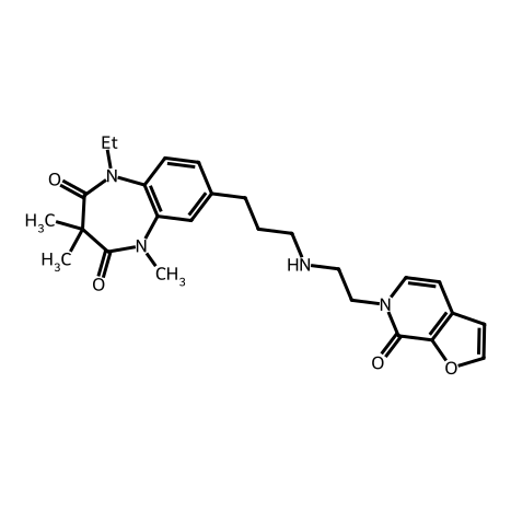 CCN1C(=O)C(C)(C)C(=O)N(C)c2cc(CCCNCCn3ccc4ccoc4c3=O)ccc21